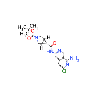 CC(C)(C)OC(=O)N1C[C@@H]2C(C(=O)Nc3cc4cc(Cl)nc(N)c4cn3)[C@@H]2C1